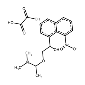 CC(OCC(O)c1cccc2cccc([N+](=O)[O-])c12)N(C)C.O=C(O)C(=O)O